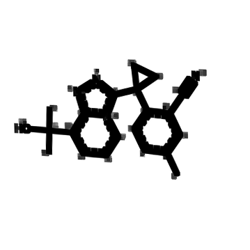 Cc1ccc(C2(c3nnc4c(C(C)(C)O)cccn34)CC2)c(C#N)c1